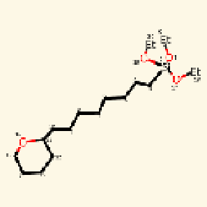 CCO[Si](CCCCCCCCC1CCCCO1)(OCC)OCC